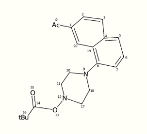 CC(=O)c1ccc2cccc(N3CCN(OC(=O)C(C)(C)C)CC3)c2c1